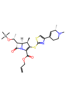 C=CCOC(=O)C1=C(Sc2nc(C3=C[C@H](C)N(C)CC3)cs2)[C@H](C)[C@@H]2[C@@H]([C@@H](C)O[Si](C)(C)C)C(=O)N12